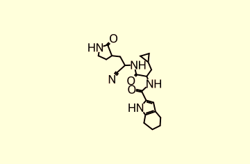 N#CC(CC1CCNC1=O)NC(=O)C(CC1CC1)NC(=O)c1cc2c([nH]1)CCCC2